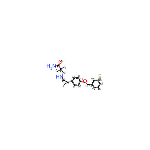 CC(C)(CN[C@H]1CC1c1ccc(OCc2cccc(F)c2)cc1)C(N)=O